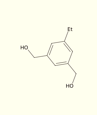 [CH2]Cc1cc(CO)cc(CO)c1